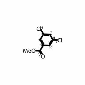 COC(=O)c1cc(Cl)[c]c(Cl)c1